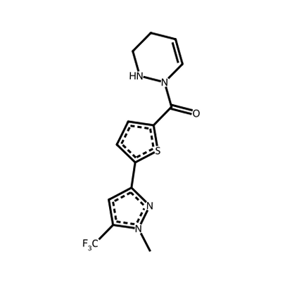 Cn1nc(-c2ccc(C(=O)N3C=CCCN3)s2)cc1C(F)(F)F